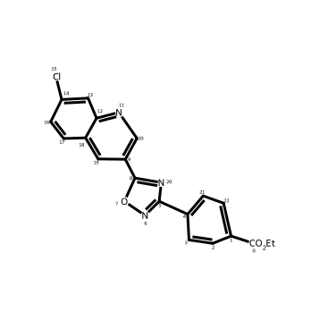 CCOC(=O)c1ccc(-c2noc(-c3cnc4cc(Cl)ccc4c3)n2)cc1